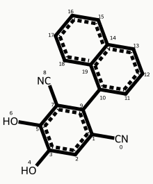 N#Cc1cc(O)c(O)c(C#N)c1-c1cccc2ccccc12